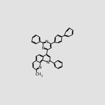 Cc1ccc2ccc3c(-c4cc(-c5ccc(-c6ccccc6)cc5)nc(-c5ccccc5)n4)cc(-c4ccccc4)nc3c2n1